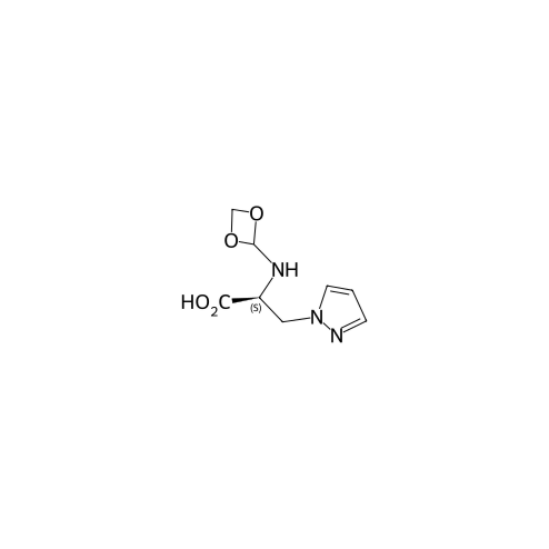 O=C(O)[C@H](Cn1cccn1)NC1OCO1